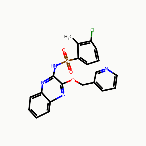 Cc1c(Cl)cccc1S(=O)(=O)Nc1nc2ccccc2nc1OCc1cccnc1